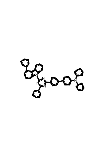 c1ccc(-c2nc(-c3ccc(-c4ccc(N(c5ccccc5)c5ccccc5)cc4)cc3)nc(-n3c4ccccc4c4c(-c5ccccc5)cccc43)n2)cc1